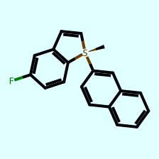 C[S@]1(c2ccc3ccccc3c2)C=Cc2cc(F)ccc21